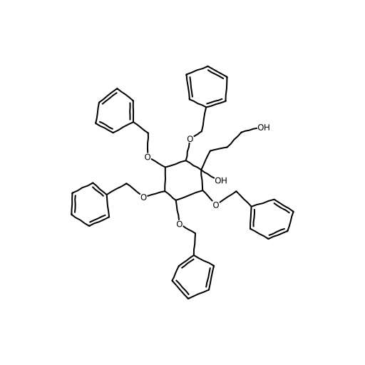 OCCCC1(O)C(OCc2ccccc2)C(OCc2ccccc2)C(OCc2ccccc2)C(OCc2ccccc2)C1OCc1ccccc1